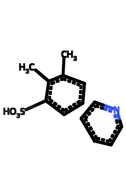 Cc1cccc(S(=O)(=O)O)c1C.c1ccncc1